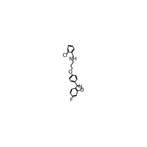 Fc1ccc2c(-c3ccc(OCCCNCc4ccccc4Cl)cc3)noc2c1